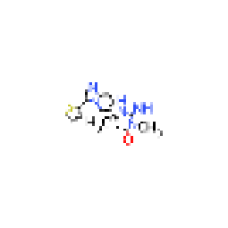 CN1C(=N)N[C@](C)(c2ccc3ncc(-c4cccs4)n3c2)CC1=O